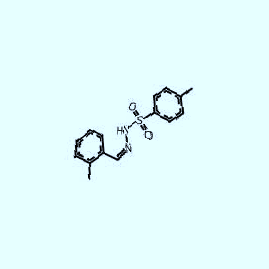 Cc1ccc(S(=O)(=O)N/N=C\c2ccccc2C)cc1